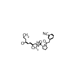 C=CC/C(Cl)=C\C=C(/C)CNC(=O)[C@@H]1CCCN1C(=O)Cc1cccc(C#N)c1